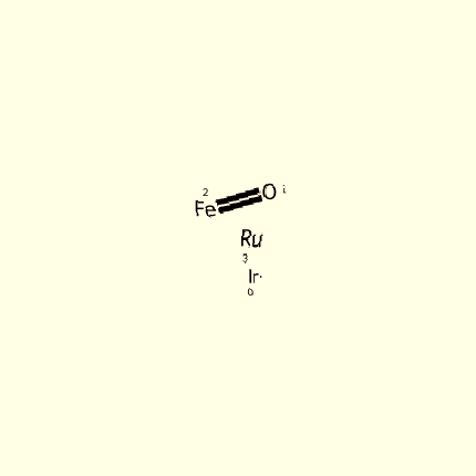 [Ir].[O]=[Fe].[Ru]